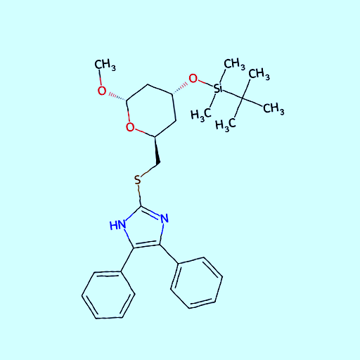 CO[C@@H]1C[C@H](O[Si](C)(C)C(C)(C)C)C[C@@H](CSc2nc(-c3ccccc3)c(-c3ccccc3)[nH]2)O1